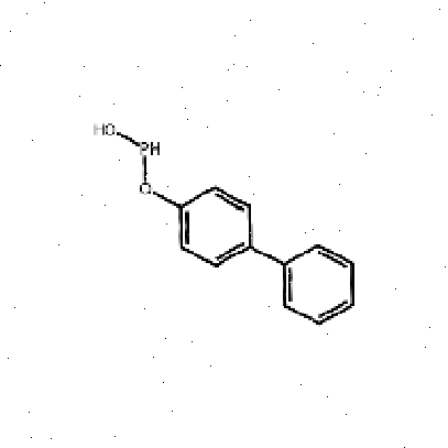 OPOc1ccc(-c2ccccc2)cc1